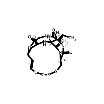 C/C=C1\NC(=O)[C@H]2CSSCC/C=C/C(CC(=O)N[C@H](C(C)C)C(=O)N2)OC(=O)CNC1=O